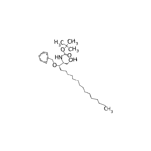 CCCCCCCCCCCCCCC[C@@H](OCc1ccccc1)[C@H](CO)NC(=O)OC(C)(C)C